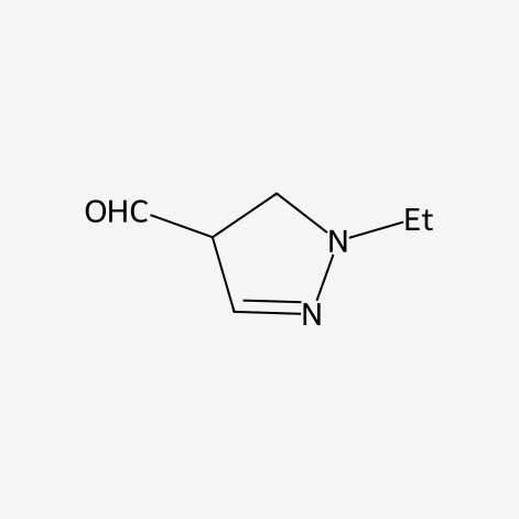 CCN1CC(C=O)C=N1